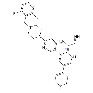 N=C/C(N)=C1\NC=C(C2=CCNCC2)C=C1c1ccc(N2CCN(Cc3c(F)cccc3F)CC2)nc1